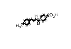 CN1CCC(CCNC(=O)N2CCN(C(=O)O)CC2)CC1